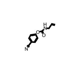 C=CCNC(=O)Oc1ccc(C#N)cc1